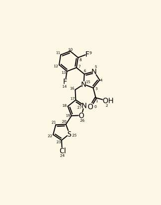 O=C(O)c1cnc(-c2c(F)cccc2F)n1Cc1cc(-c2ccc(Cl)s2)on1